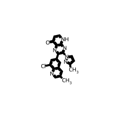 Cc1cnc2c(Cl)cc(-c3nc4c(=O)cc[nH]c4nc3-n3ccc(C)n3)cc2c1